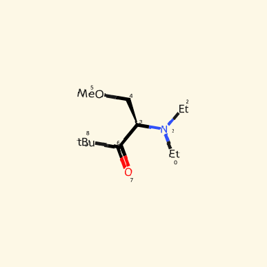 CCN(CC)[C@H](COC)C(=O)C(C)(C)C